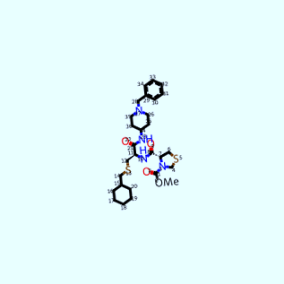 COC(=O)N1CSC[C@H]1C(=O)N[C@@H](CSCC1CCCCC1)C(=O)NC1CCN(Cc2ccccc2)CC1